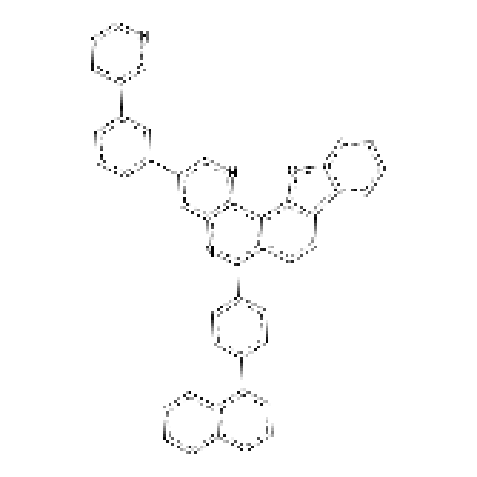 c1cncc(-c2cccc(-c3cnc4c(c3)nc(-c3ccc(-c5cccc6ccccc56)cc3)c3ccc5c6ccccc6oc5c34)c2)c1